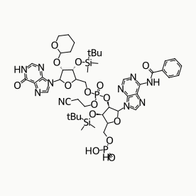 CC(C)(C)[Si](C)(C)O[C@@H]1C(CO[PH](=O)O)OC(n2cnc3c(NC(=O)c4ccccc4)ncnc32)[C@@H]1OP(=O)(OCCC#N)OCC1OC(n2cnc3c(=O)[nH]cnc32)[C@H](OC2CCCCO2)[C@@H]1O[Si](C)(C)C(C)(C)C